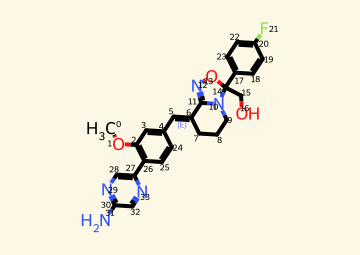 COc1cc(/C=C2\CCCN3C2=NOC3(CO)c2ccc(F)cc2)ccc1-c1cnc(N)cn1